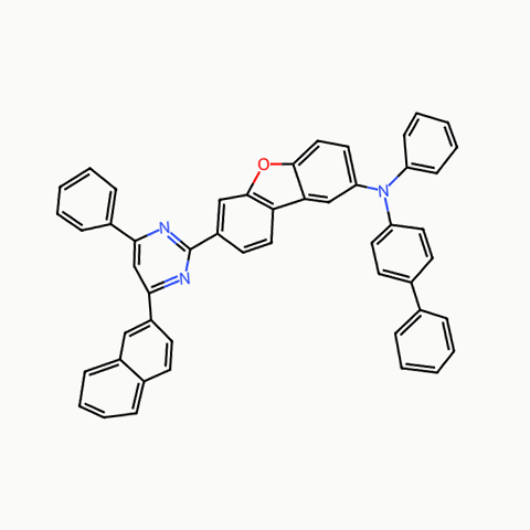 c1ccc(-c2ccc(N(c3ccccc3)c3ccc4oc5cc(-c6nc(-c7ccccc7)cc(-c7ccc8ccccc8c7)n6)ccc5c4c3)cc2)cc1